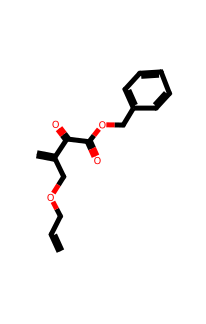 C=CCOCC(=C)C(=O)C(=O)OCc1ccccc1